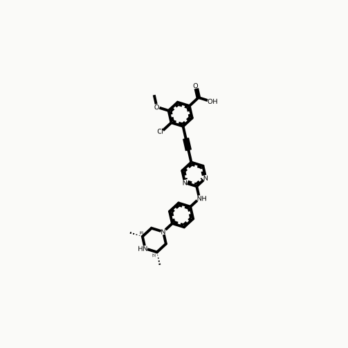 COc1cc(C(=O)O)cc(C#Cc2cnc(Nc3ccc(N4C[C@@H](C)N[C@@H](C)C4)cc3)nc2)c1Cl